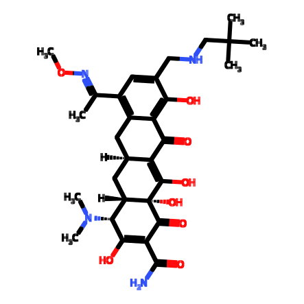 CO/N=C(\C)c1cc(CNCC(C)(C)C)c(O)c2c1C[C@@H]1C[C@H]3[C@@H](N(C)C)C(O)=C(C(N)=O)C(=O)[C@]3(O)C(O)=C1C2=O